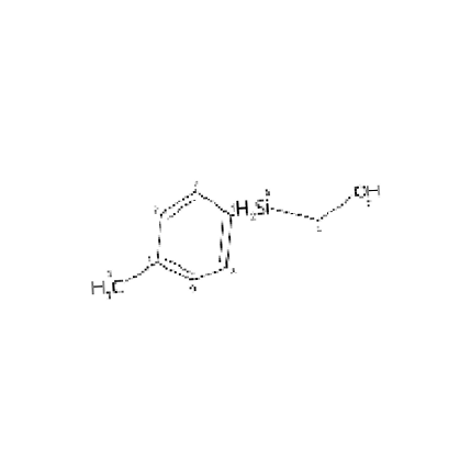 Cc1ccc([SiH2]CO)cc1